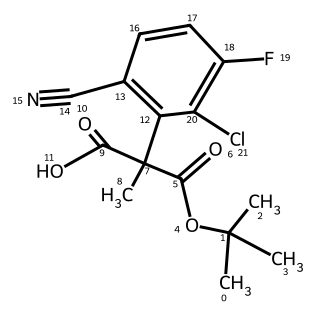 CC(C)(C)OC(=O)C(C)(C(=O)O)c1c(C#N)ccc(F)c1Cl